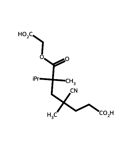 CC(C)C(C)(CC(C)(C#N)CCC(=O)O)C(=O)OCC(=O)O